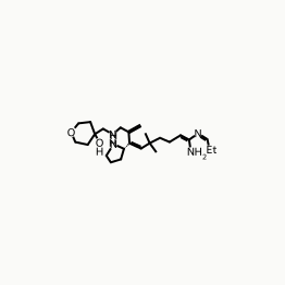 C=C(CNCC1(O)CCOCC1)/C(=C\C(C)(C)CC/C=C(N)/N=C\CC)[C@@H]1CCCN1